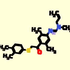 C=CCN(C)/C=N/c1cc(C)c(C(=O)CSc2ccc(C)c(C)c2)cc1C